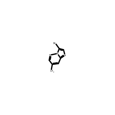 FC(F)(F)c1cnn2c(Br)cnc2c1